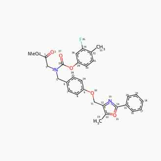 COC(=O)CN(Cc1ccc(OCc2nc(-c3ccccc3)oc2C)cc1)C(=O)Oc1ccc(C)c(F)c1